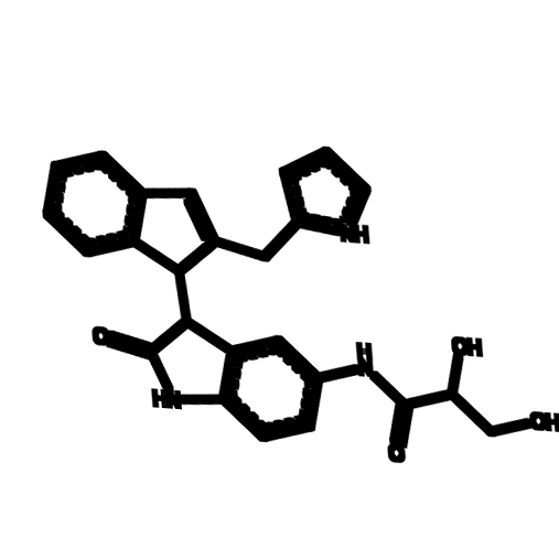 O=C(Nc1ccc2c(c1)C(C1C(Cc3ccc[nH]3)=Cc3ccccc31)C(=O)N2)C(O)CO